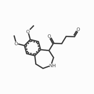 COc1cc2c(cc1OC)C(C(=O)CCC=O)CNCC2